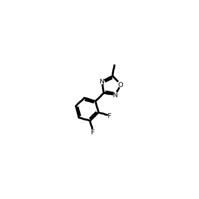 Cc1nc(-c2cccc(F)c2F)no1